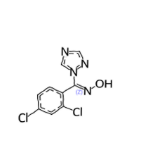 O/N=C(/c1ccc(Cl)cc1Cl)n1cncn1